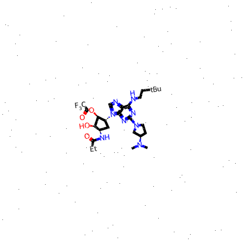 CCC(=O)N[C@H]1C[C@@H](n2cnc3c(NCCC(C)(C)C)nc(N4CC[C@@H](N(C)C)C4)nc32)[C@H](OC(=O)C(F)(F)F)[C@@H]1O